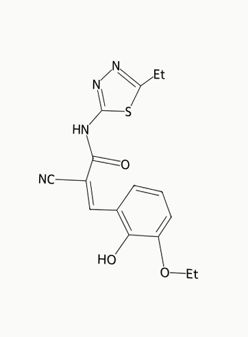 CCOc1cccc(C=C(C#N)C(=O)Nc2nnc(CC)s2)c1O